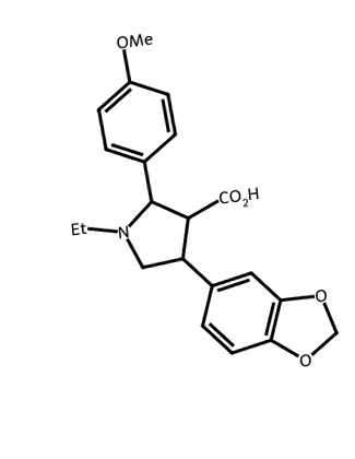 CCN1CC(c2ccc3c(c2)OCO3)C(C(=O)O)C1c1ccc(OC)cc1